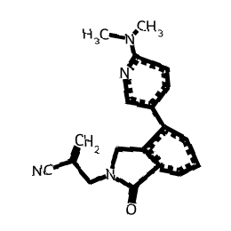 C=C(C#N)CN1Cc2c(cccc2-c2ccc(N(C)C)nc2)C1=O